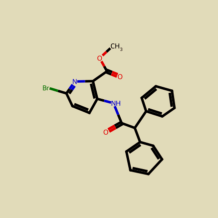 COC(=O)c1nc(Br)ccc1NC(=O)C(c1ccccc1)c1ccccc1